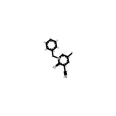 Cc1cc(C#N)c(=O)n(Cc2ccccc2)c1